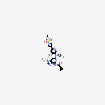 CCc1cc(C2CN(S(C)(=O)=O)C2)ncc1N(C)c1cc2c(ncn2C)c(NC(=O)C2CC2)n1